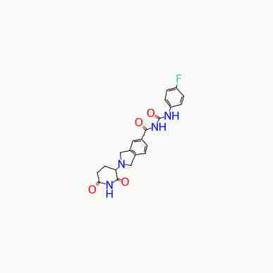 O=C1CCC(N2Cc3ccc(C(=O)NC(=O)Nc4ccc(F)cc4)cc3C2)C(=O)N1